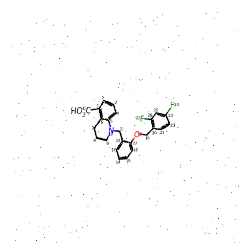 O=C(O)c1cccc2c1CCCN2Cc1ccccc1OCc1ccc(F)cc1F